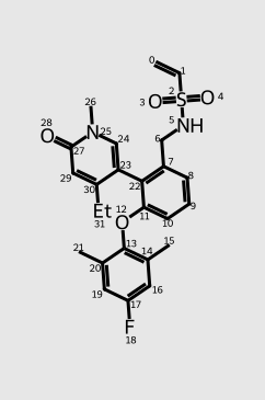 C=CS(=O)(=O)NCc1cccc(Oc2c(C)cc(F)cc2C)c1-c1cn(C)c(=O)cc1CC